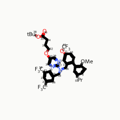 COc1ccc(C(C)C)cc1-c1ccc(OC(F)(F)F)cc1CN(Cc1cc(C(F)(F)F)cc(C(F)(F)F)c1)c1ncc(OCCCC(=O)OC(C)(C)C)cn1